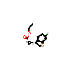 CCOC(=O)[C@@H]1C[C@H]1c1csc2cc(F)ccc12